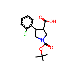 CC(C)(C)OC(=O)N1CC(C(=O)O)C(c2ccccc2Cl)C1